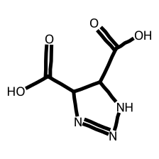 O=C(O)C1N=NNC1C(=O)O